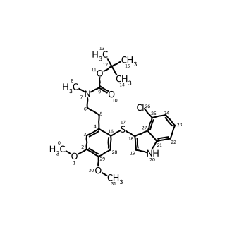 COc1cc(CCN(C)C(=O)OC(C)(C)C)c(Sc2c[nH]c3cccc(Cl)c23)cc1OC